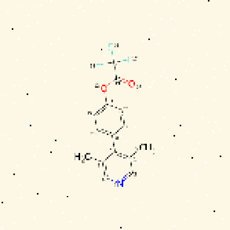 Cc1cncc(C)c1-c1ccc(OC(=O)C(F)(F)F)cc1